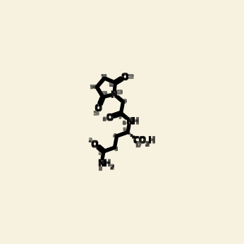 NC(=O)CC[C@H](NC(=O)CN1C(=O)CCC1=O)C(=O)O